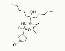 CCCCCC(O)(CCCCC)[C@@H](NS(=O)(=O)c1ccc(Cl)s1)[C@@H](C)CC